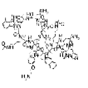 CC(=O)NCCCC[C@@H]1NC(=O)[C@H](Cc2c[nH]c3c(C)cccc23)NC(=O)[C@H]([C@@H](C)O)NC(=O)[C@H](CC(N)=O)NC(=O)[C@@H](NC(C)=O)C(C)(C)SSC(C)(C)[C@@H](C(=O)N[C@@H](Cc2ccc(OCCN)cc2)C(=O)N[C@@H](Cc2ccc3ccccc3c2)C(=O)NC(C)(CCCCN)C(=O)N[C@@H](CCCCNC(C)=O)C(=O)N[C@@H](CC(N)=O)C(=O)N[C@@H](Cc2cnc[nH]2)C(N)=O)NC1=O